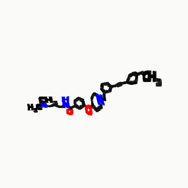 CCc1ccc(C#Cc2cccc(CN3CCC(Oc4cccc(C(=O)NCCCN(C)C)c4)CC3)c2)cc1